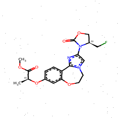 COC(=O)[C@H](C)Oc1ccc2c(c1)OCCn1cc(N3C(=O)OC[C@H]3CF)nc1-2